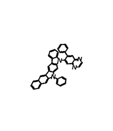 c1ccc(-c2cc3nccnc3cc2-n2c3ccccc3c3cc4c5cc6ccccc6cc5n(-c5ccccc5)c4cc32)cc1